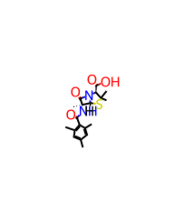 Cc1cc(C)c(C(=O)N[C@@]2(C)C(=O)N3[C@@H](C(=O)O)C(C)(C)S[C@@H]32)c(C)c1